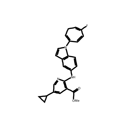 COC(=O)c1cc(C2CC2)cnc1Nc1ccc2c(ccn2C2=CCC=C(F)C=C2)c1